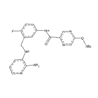 CCCCOc1cnc(C(=O)Nc2ccc(F)c(CNc3cccnc3N)c2)cn1